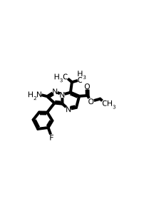 CCOC(=O)c1cnc2c(-c3cccc(F)c3)c(N)nn2c1C(C)C